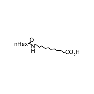 CCCCCCC(=O)NCCCCCCCCCCC(=O)O